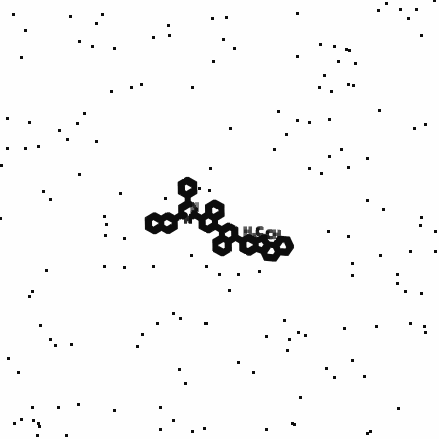 CC1(C)c2cc(-c3ccc(-c4ccc(-c5nc(-c6ccccc6)cc(-c6ccc7ccccc7c6)n5)c5ccccc45)c4ccccc34)ccc2-c2ccc3ccccc3c21